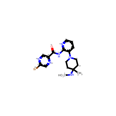 CC1(NC(=O)O)CCN(c2cccnc2NC(=O)c2cnc(Br)cn2)CC1